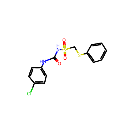 O=C(Nc1ccc(Cl)cc1)NS(=O)(=O)CSc1ccccc1